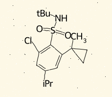 CC(C)c1cc(Cl)c(S(=O)(=O)NC(C)(C)C)c(C2(C)CC2)c1